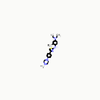 CCN(CC)c1ccc(Nc2nc(-c3ccc(N4CCN(C)CC4)cc3)cs2)c(C)c1